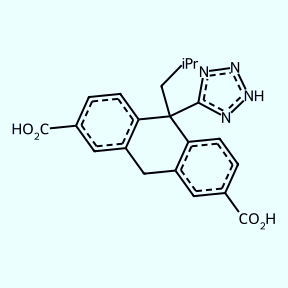 CC(C)CC1(c2nn[nH]n2)c2ccc(C(=O)O)cc2Cc2cc(C(=O)O)ccc21